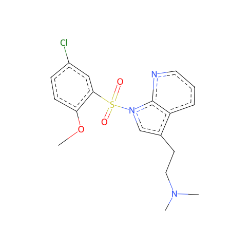 COc1ccc(Cl)cc1S(=O)(=O)n1cc(CCN(C)C)c2cccnc21